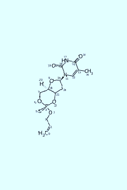 C=CCOP1(=S)OC[C@H]2O[C@@H](n3cc(C)c(=O)[nH]c3=O)CC2O1